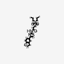 CCCN(CCC)S(=O)(=O)CCC(=O)Nc1nc(-c2ccc3c(c2)CCO3)cs1